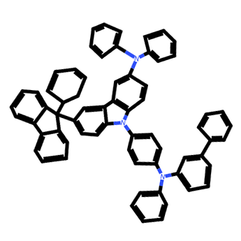 C1=CCC(C2(c3ccc4c(c3)c3cc(N(c5ccccc5)c5ccccc5)ccc3n4-c3ccc(N(c4ccccc4)c4cccc(-c5ccccc5)c4)cc3)c3ccccc3-c3ccccc32)C=C1